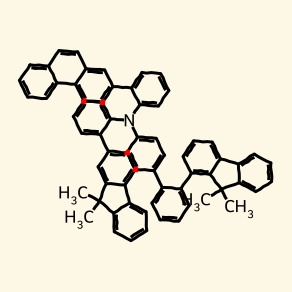 CC1(C)c2ccccc2-c2ccc(-c3ccccc3N(c3ccc(-c4ccccc4-c4cccc5c4C(C)(C)c4ccccc4-5)cc3)c3ccccc3-c3ccc4c(ccc5ccccc54)c3)cc21